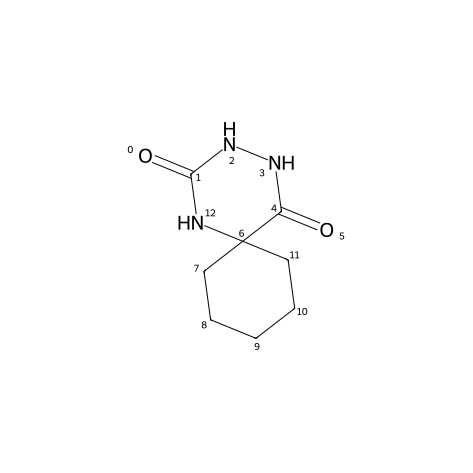 O=C1NNC(=O)C2(CCCCC2)N1